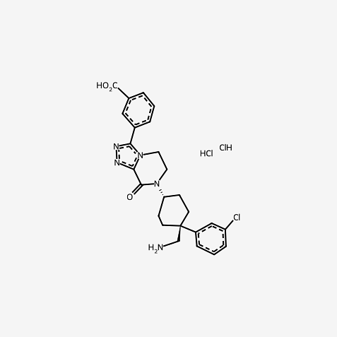 Cl.Cl.NC[C@]1(c2cccc(Cl)c2)CC[C@@H](N2CCn3c(nnc3-c3cccc(C(=O)O)c3)C2=O)CC1